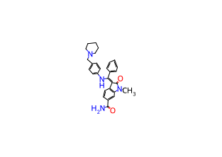 CN1C(=O)C(=C(Nc2ccc(CN3CCCCC3)cc2)c2ccccc2)c2ccc(C(N)=O)cc21